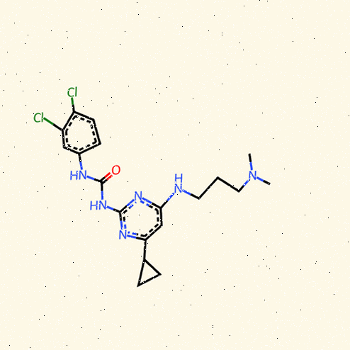 CN(C)CCCNc1cc(C2CC2)nc(NC(=O)Nc2ccc(Cl)c(Cl)c2)n1